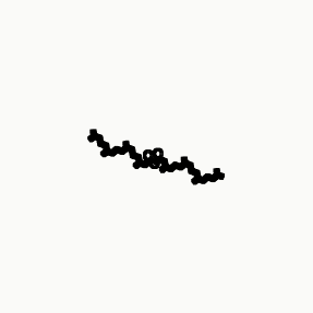 CC(C)CCCC(C)CCCC(C)CCCC(C)CC(=O)OC(=O)CC(C)CCCC(C)CCCC(C)CCCC(C)C